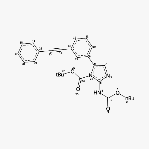 CCCCOC(=O)Nc1ncc(-c2cccc(C#Cc3ccccc3)c2)n1C(=O)OC(C)(C)C